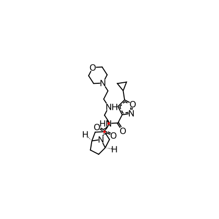 O=C(N[C@H]1C[C@H]2CC[C@@H](C1)N2S(=O)(=O)CCNCCN1CCOCC1)c1cc(C2CC2)on1